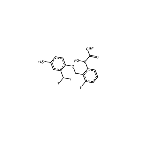 COC(=O)N(O)c1cccc(F)c1COc1ccc(C)cc1C(F)F